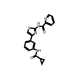 O=C(Nc1nc(-c2cccc(NC(=O)C3CC3)c2)cs1)c1ccccn1